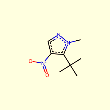 Cn1ncc([N+](=O)[O-])c1C(C)(C)C